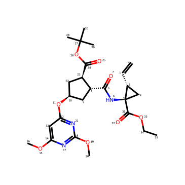 C=C[C@@H]1C[C@]1(NC(=O)[C@@H]1C[C@@H](Oc2cc(OC)nc(OC)n2)C[C@H]1C(=O)OC(C)(C)C)C(=O)OCC